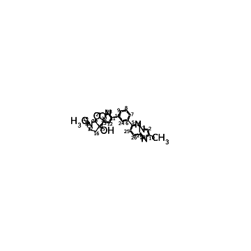 Cc1cn2nc(-c3cccc(-c4cc(C5(O)CCN(C)C5=O)on4)c3)ccc2n1